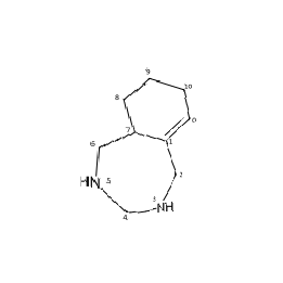 C1=C2CNCNCC2CCC1